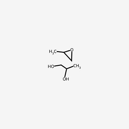 CC(O)CO.CC1CO1